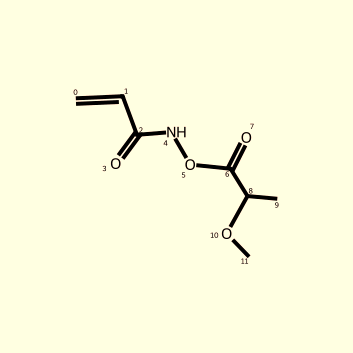 C=CC(=O)NOC(=O)C(C)OC